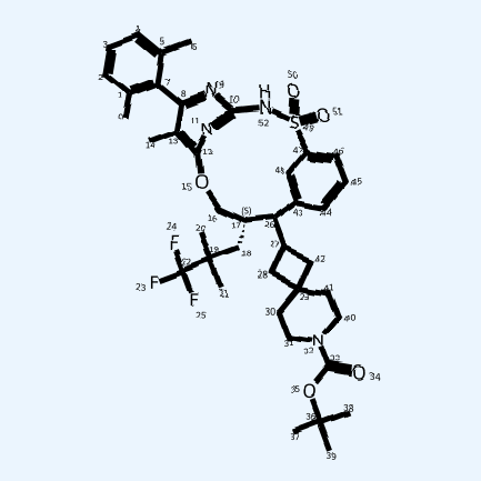 Cc1cccc(C)c1-c1nc2nc(c1C)OC[C@@H](CC(C)(C)C(F)(F)F)C(C1CC3(CCN(C(=O)OC(C)(C)C)CC3)C1)c1cccc(c1)S(=O)(=O)N2